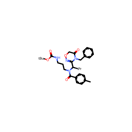 Cc1ccc(C(=O)N(CCCNC(=O)OC(C)(C)C)C(C2=NOCC(=O)N2Cc2ccccc2)C(C)C)cc1